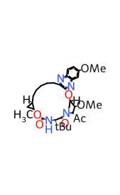 COc1ccc2nc3c(nc2c1)O[C@H]1CN(C(=O)[C@H](C(C)(C)C)NC(=O)O[C@]2(C)C[C@H]2CCCCC3)[C@H](C(C)=O)[C@@H]1OC